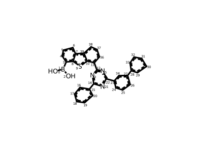 OB(O)c1cccc2c1sc1c(-c3nc(-c4ccccc4)nc(-c4cccc(-c5ccccc5)c4)n3)cccc12